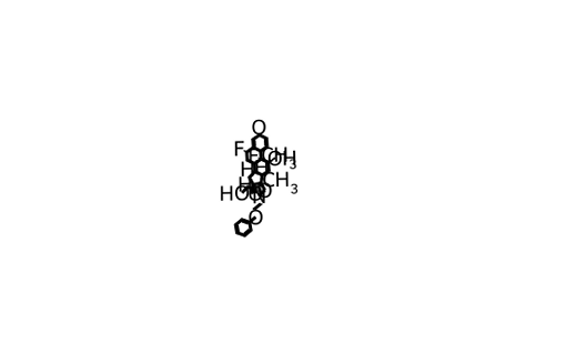 C[C@]12C=CC(=O)C=C1[C@@H](F)C[C@H]1[C@@H]3C[C@H]4CN(CCOc5ccccc5)O[C@@]4(C(=O)CO)[C@@]3(C)C[C@H](O)[C@@]12F